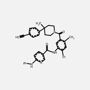 C#Cc1ccc(C2(P)CCN(C(=O)c3cc(NC(=O)c4ccc(NC(C)C)nc4)c(CC)cc3C)CC2)cc1